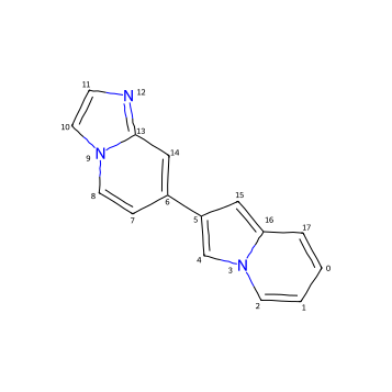 c1ccn2cc(-c3ccn4ccnc4c3)cc2c1